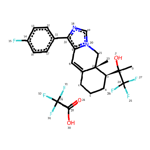 CC(O)([C@H]1CCCC2=Cc3c(-c4ccc(F)cc4)ncn3C[C@@]21C)C(F)(F)F.O=C(O)C(F)(F)F